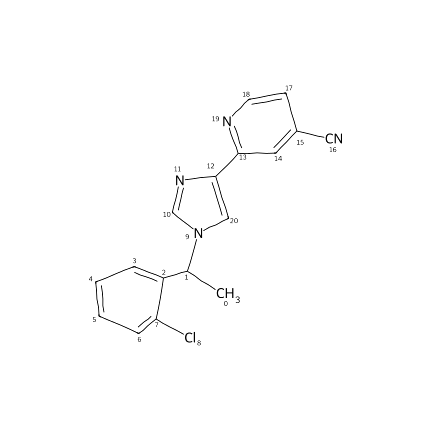 CC(c1ccccc1Cl)n1cnc(-c2cc(C#N)ccn2)c1